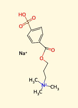 C[N+](C)(C)CCCOC(=O)c1ccc(S(=O)(=O)O)cc1.[Na+]